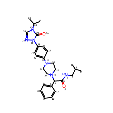 CC(C)CNC(=O)C(c1ccccc1)N1CCN(c2ccc(-n3ncn(C(C)C)c3=O)cc2)CC1